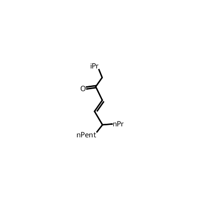 CCCCCC(/C=C/C(=O)CC(C)C)CCC